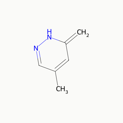 C=C1C=C(C)C=NN1